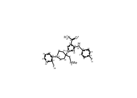 CNCC1(n2cc(C(N)=O)c(Nc3ccc(F)cc3)n2)CCN(c2cccnc2F)CC1